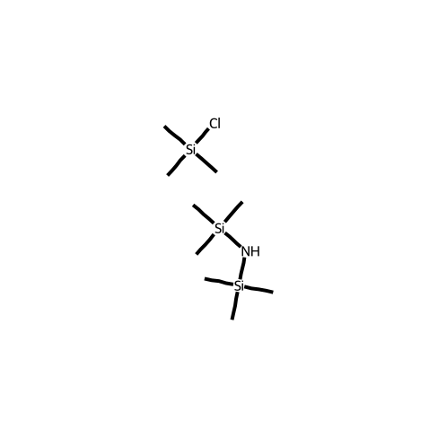 C[Si](C)(C)Cl.C[Si](C)(C)N[Si](C)(C)C